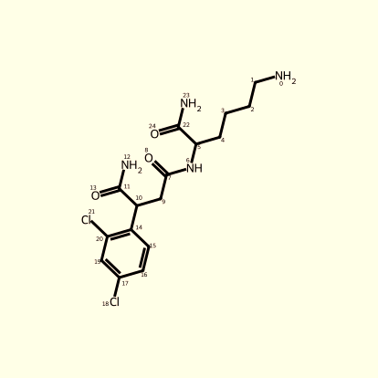 NCCCCC(NC(=O)CC(C(N)=O)c1ccc(Cl)cc1Cl)C(N)=O